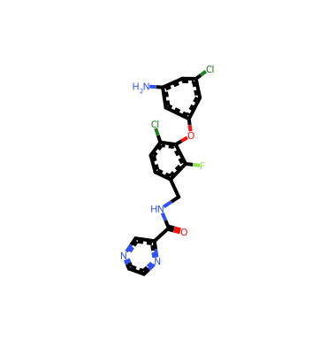 Nc1cc(Cl)cc(Oc2c(Cl)ccc(CNC(=O)c3cnccn3)c2F)c1